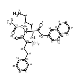 CC[C@](CCCN)(C(=O)Sc1cnc2ccccc2c1)N(OC(=O)C(F)(F)F)C(=O)[C@@H](N)CCc1ccccc1